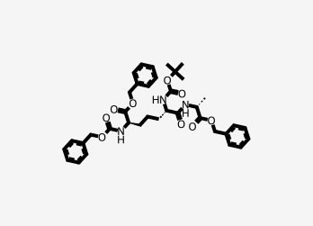 C[C@@H](NC(=O)[C@H](CCC[C@@H](NC(=O)OCc1ccccc1)C(=O)OCc1ccccc1)NC(=O)OC(C)(C)C)C(=O)OCc1ccccc1